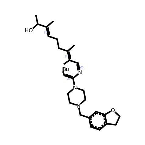 CCC(C)\C=C(/N=C\C(C)=C(/C)CC/C=C(\C)C(C)O)N1CCN(Cc2ccc3c(c2)OCC3)CC1